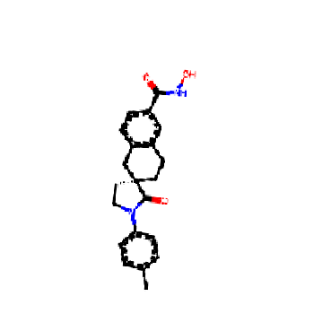 Cc1ccc(N2CC[C@]3(CCc4cc(C(=O)NO)ccc4C3)C2=O)cc1